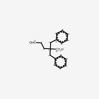 O=CCCC(Cc1ccccc1)(Cc1ccccc1)C(=O)O